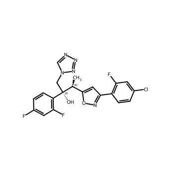 C[C@@H](c1cc(-c2ccc(Cl)cc2F)no1)[C@](O)(Cn1cnnn1)c1ccc(F)cc1F